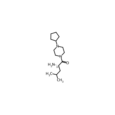 CC(C)C[C@H](N)C(=O)N1CCN(C2CCCC2)CC1